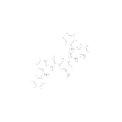 O=C(Nc1ncccc1Nc1ccccc1)c1cc(Br)cc(C(=O)Nc2ncccc2Nc2ccccc2)c1